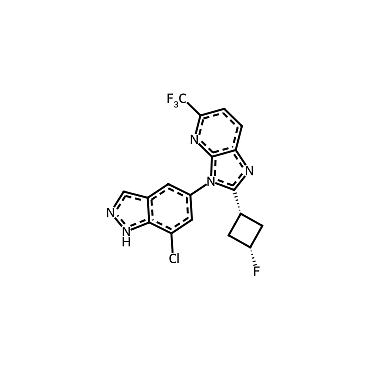 FC(F)(F)c1ccc2nc([C@H]3C[C@@H](F)C3)n(-c3cc(Cl)c4[nH]ncc4c3)c2n1